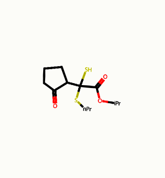 CCCSC(S)(C(=O)OC(C)C)C1CCCC1=O